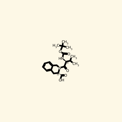 CC(C)[C@H](NC(=O)OC(C)(C)C)C(=O)N1Cc2ccccc2C[C@H]1C(=O)O